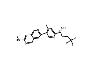 CNc1cc2cnc(-c3cnc([C@H](O)CCC(F)(F)F)cc3C)cc2cn1